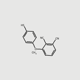 C.N#Cc1cccc(Oc2ccc(S)cc2)c1C#N